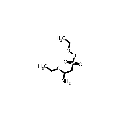 CCOOS(=O)(=O)CC(N)OCC